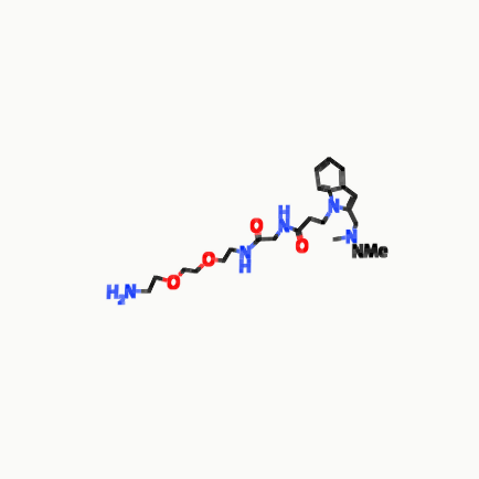 CNN(C)Cc1cc2ccccc2n1CCC(=O)NCC(=O)NCCOCCOCCN